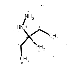 CCC(P)(CC)NN